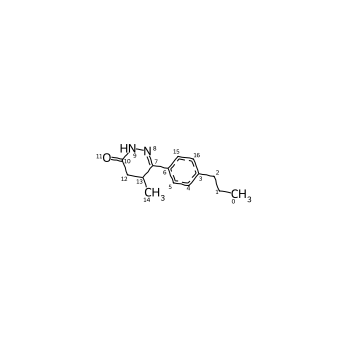 CCCc1ccc(C2=NNC(=O)CC2C)cc1